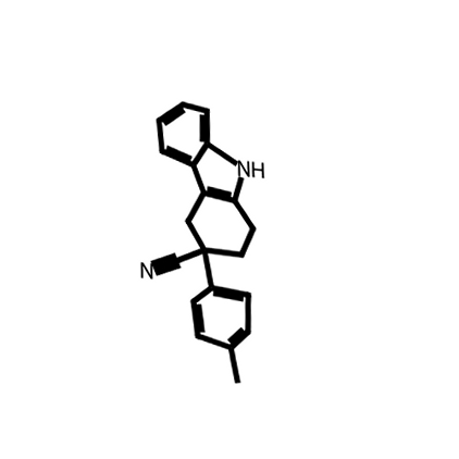 Cc1ccc(C2(C#N)CCc3[nH]c4ccccc4c3C2)cc1